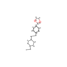 CCC1CCC(CCc2ccc(C3OCCO3)cc2)CC1